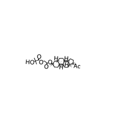 CC(=O)[C@H]1CC[C@H]2[C@@H]3CC[C@H]4C[C@](C)(OC(=O)COC(=O)C(C)(C)O)CC[C@]4(C)[C@H]3CC[C@]12C